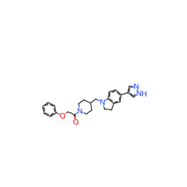 O=C(COc1ccccc1)N1CCC(CN2CCc3cc(-c4cn[nH]c4)ccc32)CC1